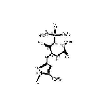 COc1cc(CC(NC(=O)OC(C)(C)C)C(=O)CP(=O)(OC)OC)nn1C